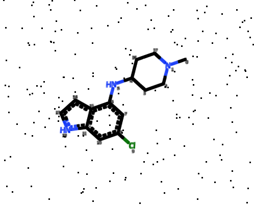 CN1CCC(Nc2cc(Cl)cc3[nH]ccc23)CC1